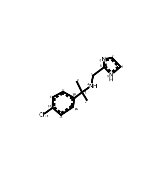 CC(C)(NCc1ncc[nH]1)c1ccc(Cl)cc1